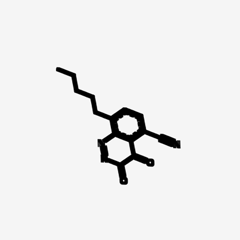 CCCCCc1ccc(C#N)c2c1N=NC(=O)C2=O